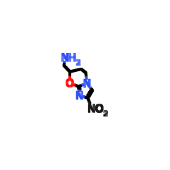 NCC1CCn2cc([N+](=O)[O-])nc2O1